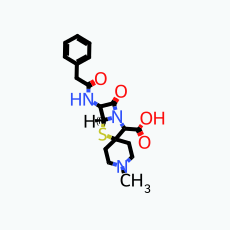 CN1CCC2(CC1)S[C@@H]1C(NC(=O)Cc3ccccc3)C(=O)N1C2C(=O)O